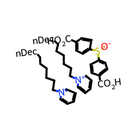 CCCCCCCCCCCCCCCC[n+]1ccccc1.CCCCCCCCCCCCCCCC[n+]1ccccc1.O=C(O)c1ccc([S+]([O-])c2ccc(C(=O)O)cc2)cc1